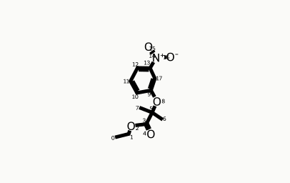 CCOC(=O)C(C)(C)Oc1cccc([N+](=O)[O-])c1